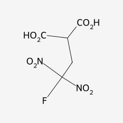 O=C(O)C(CC(F)([N+](=O)[O-])[N+](=O)[O-])C(=O)O